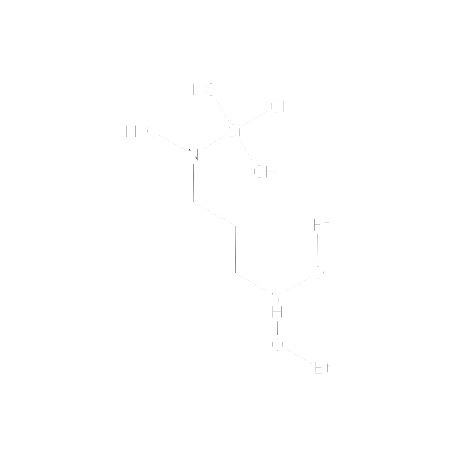 CCO[SiH](CCCN(C)[Si](C)(C)C)OCC